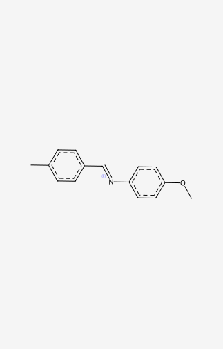 COc1ccc(/N=C/c2ccc(C)cc2)cc1